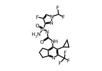 N[S@](=O)(=NC(=O)Nc1c2c(nc(C(F)(F)F)c1C1CC1)CCC2)c1nn(C(F)F)cc1F